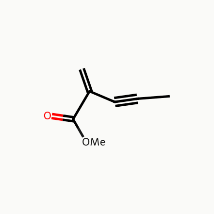 C=C(C#CC)C(=O)OC